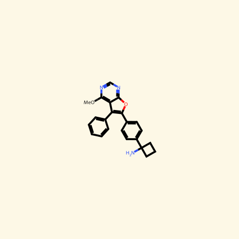 COc1ncnc2oc(-c3ccc(C4(N)CCC4)cc3)c(-c3ccccc3)c12